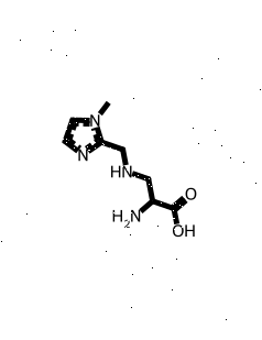 Cn1ccnc1CNCC(N)C(=O)O